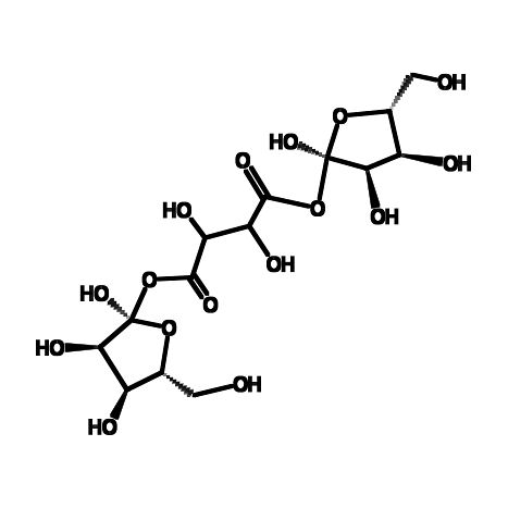 O=C(O[C@@]1(O)O[C@H](CO)[C@@H](O)[C@H]1O)C(O)C(O)C(=O)O[C@@]1(O)O[C@H](CO)[C@@H](O)[C@H]1O